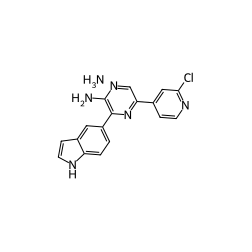 N.Nc1ncc(-c2ccnc(Cl)c2)nc1-c1ccc2[nH]ccc2c1